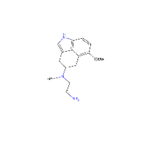 CCCN(CCN)C1Cc2c[nH]c3ccc(OC)c(c23)C1